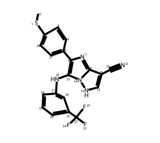 CSc1ccc(-c2nc3c(C#N)c[nH]n3c2Nc2cccc(C(F)(F)F)c2)cc1